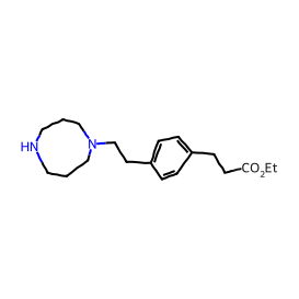 CCOC(=O)CCc1ccc(CCN2CCCNCCC2)cc1